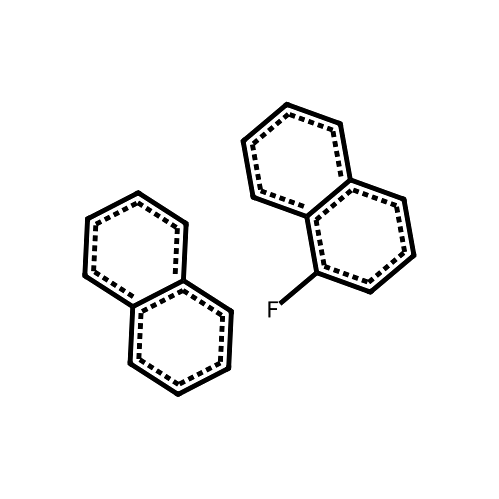 Fc1cccc2ccccc12.c1ccc2ccccc2c1